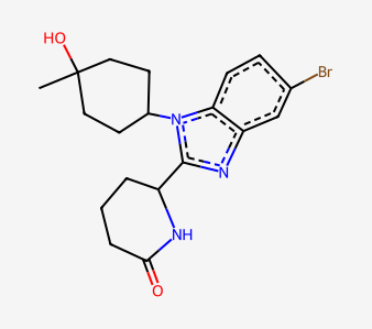 CC1(O)CCC(n2c(C3CCCC(=O)N3)nc3cc(Br)ccc32)CC1